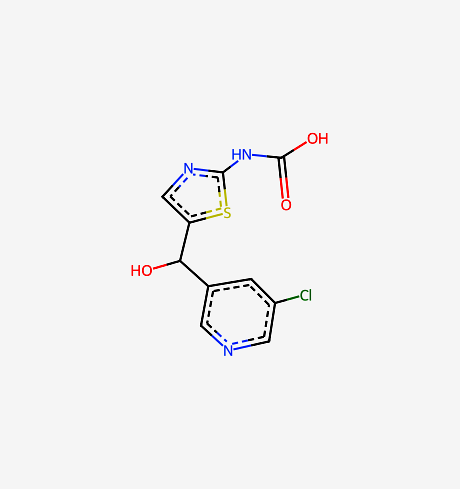 O=C(O)Nc1ncc(C(O)c2cncc(Cl)c2)s1